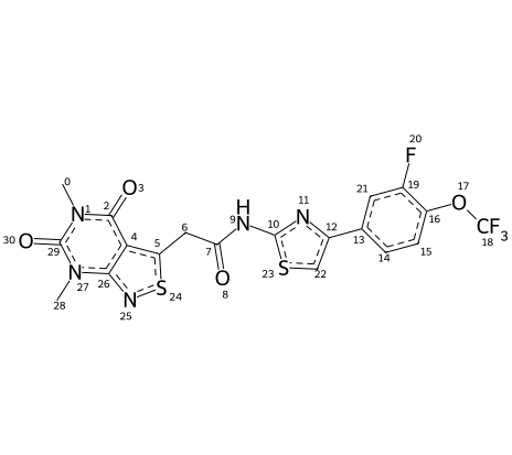 Cn1c(=O)c2c(CC(=O)Nc3nc(-c4ccc(OC(F)(F)F)c(F)c4)cs3)snc2n(C)c1=O